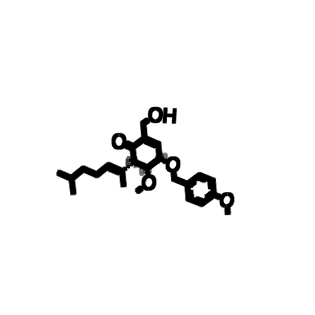 COc1ccc(CO[C@@H]2C=C(CO)C(=O)[C@@H](C(C)=CCCC(C)C)[C@@H]2OC)cc1